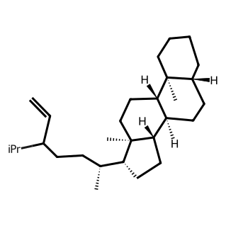 C=CC(CC[C@@H](C)[C@H]1CC[C@H]2[C@@H]3CC[C@H]4CCCC[C@]4(C)[C@H]3CC[C@]12C)C(C)C